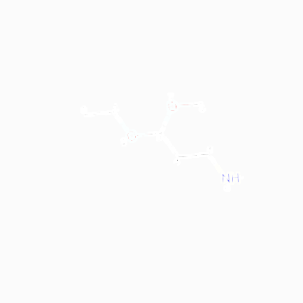 CCOC(CC[NH])OC